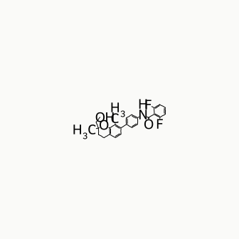 Cc1c(-c2ccc(NC(=O)c3c(F)cccc3F)cc2)ccc2c1OC(C)(CO)CC2